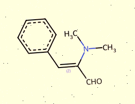 CN(C)/C(C=O)=C\c1ccccc1